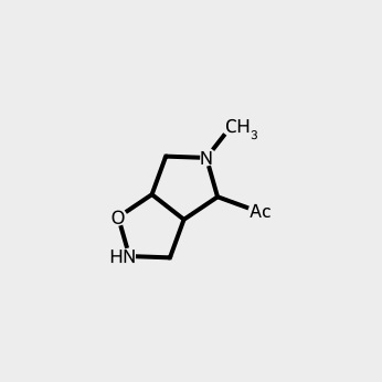 CC(=O)C1C2CNOC2CN1C